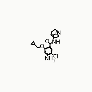 Nc1cc(OCC2CC2)c(C(=O)NC2CN3CCC2CC3)cc1Cl